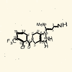 CN/C(=C\C=N)N1NNC2=C1CCN(C(=O)c1cccc(C(F)(F)F)c1Cl)C2